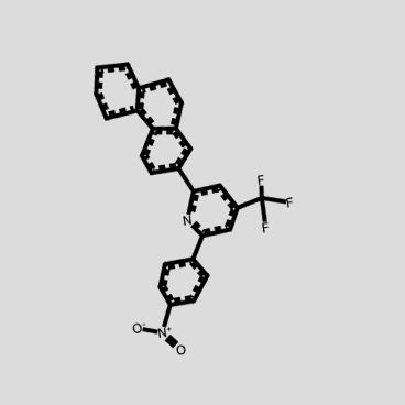 O=[N+]([O-])c1ccc(-c2cc(C(F)(F)F)cc(-c3ccc4c(ccc5ccccc54)c3)n2)cc1